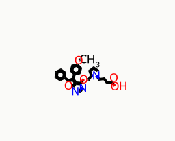 COc1ccc(-c2c(-c3ccccc3)oc3ncnc(OCC4CCCN4CCCC(=O)O)c23)cc1